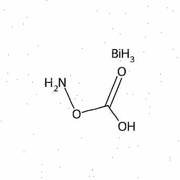 NOC(=O)O.[BiH3]